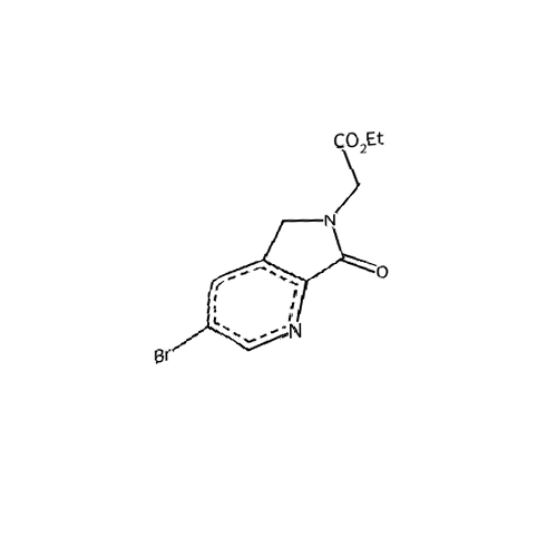 CCOC(=O)CN1Cc2cc(Br)cnc2C1=O